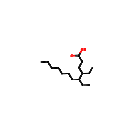 CCCCCCCC(CC)C(CC)CCC(=O)O